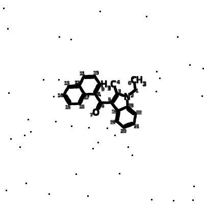 CCn1c(C)c(C(=O)c2cccc3ccccc23)c2ccccc21